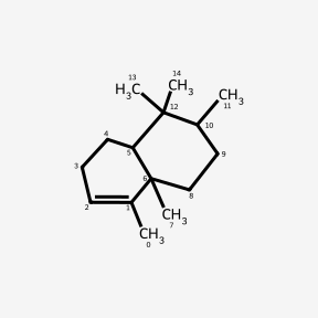 CC1=CCCC2C1(C)CCC(C)C2(C)C